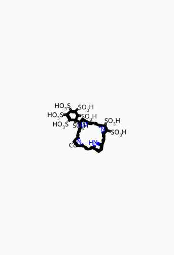 O=S(=O)(O)C1=C(S(=O)(=O)O)C(S(=O)(=O)O)C(c2cc3cc4nc(cc5ccc(cc6nc(cc2[nH]3)C=C6)[nH]5)C(S(=O)(=O)O)=C4S(=O)(=O)O)(S(=O)(=O)O)C(S(=O)(=O)O)=C1S(=O)(=O)O.[Cd]